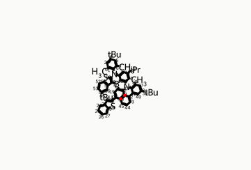 Cc1cc(C(C)(C)C)cc(C)c1N1c2cc(C(C)C)cc3c2B(c2cc(-c4cc5ccccc5s4)ccc2N3c2c(C)cc(C(C)(C)C)cc2-c2ccccc2)c2c1sc1ccc(C(C)(C)C)cc21